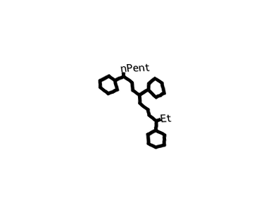 CCCCCC(CCC(CCCC(CC)C1CCCCC1)C1CCCCC1)C1CCCCC1